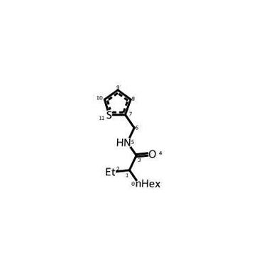 CCCCCCC(CC)C(=O)NCc1cccs1